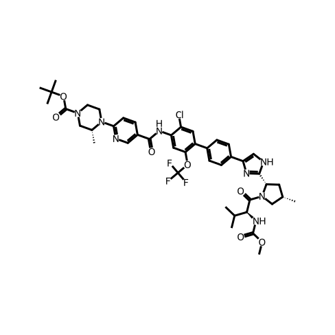 COC(=O)N[C@H](C(=O)N1C[C@@H](C)C[C@H]1c1nc(-c2ccc(-c3cc(Cl)c(NC(=O)c4ccc(N5CCN(C(=O)OC(C)(C)C)C[C@H]5C)nc4)cc3OC(F)(F)F)cc2)c[nH]1)C(C)C